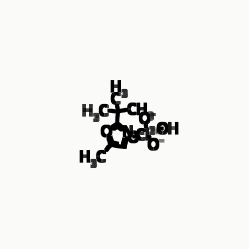 Cc1cnc(C(C)(C)C)o1.[O-][Cl+3]([O-])([O-])O